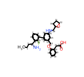 CCC[C@@H](N)c1cccc(-c2cc(COc3ccccc3CC(=O)O)cc(NCC3CCCO3)c2)c1F